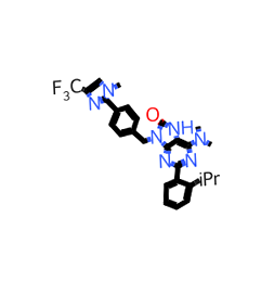 CC(C)c1ccccc1-c1nc(N(C)C)c2[nH]c(=O)n(Cc3ccc(-c4nc(C(F)(F)F)cn4C)cc3)c2n1